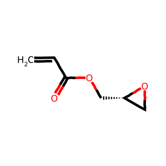 C=CC(=O)OC[C@H]1CO1